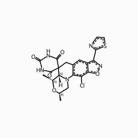 C[C@@H]1CN2c3c(cc4c(-c5nccs5)noc4c3Cl)CC3(C(=O)NC(=O)NC3=O)[C@H]2[C@H](C)O1